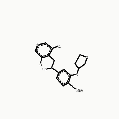 CSc1ccc(C(O)Cc2c(Cl)cncc2Cl)cc1OC1CCOC1